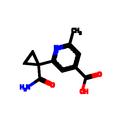 Cc1cc(C(=O)O)cc(C2(C(N)=O)CC2)n1